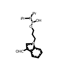 CC(C)N(C(C)C)P(O)OCCCn1cc(C=O)c2ccccc21